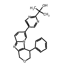 CC(C)(O)c1ncc(-c2ccc3nc4c(n3c2)C(c2ccccc2)COC4)cn1